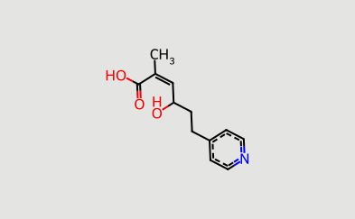 CC(=CC(O)CCc1ccncc1)C(=O)O